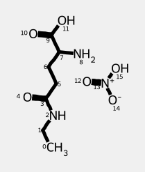 CCNC(=O)CCC(N)C(=O)O.O=[N+]([O-])O